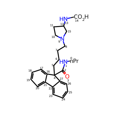 CCCNC(=O)C1(CCCCN2CCC(NC(=O)O)C2)c2ccccc2-c2ccccc21